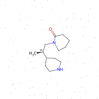 C[C@@H]([CH]N1CCCCC1=O)C1CCNCC1